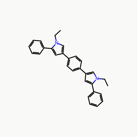 CCn1cc(-c2ccc(-c3cc(-c4ccccc4)n(CC)c3)cc2)cc1-c1ccccc1